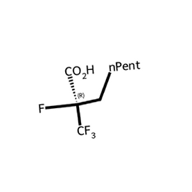 CCCCCC[C@@](F)(C(=O)O)C(F)(F)F